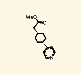 COC(=O)C[C@H]1CC[C@H](c2ccncc2)CC1